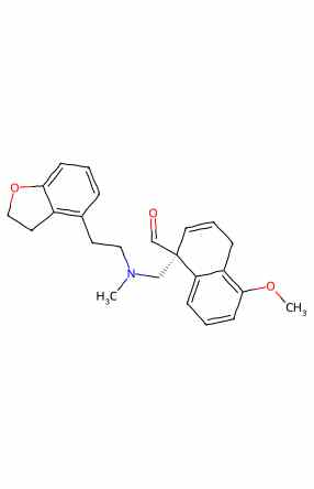 COc1cccc2c1CC=C[C@@]2(C=O)CN(C)CCc1cccc2c1CCO2